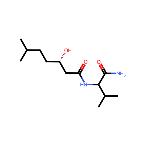 CC(C)CC[C@H](O)CC(=O)NC(C(N)=O)C(C)C